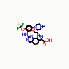 CN1CCN(c2ccc(OC(F)(F)F)c(Nc3ncc4c(n3)-c3c(c(C(=O)O)nn3CCO)CC4)c2)CC1